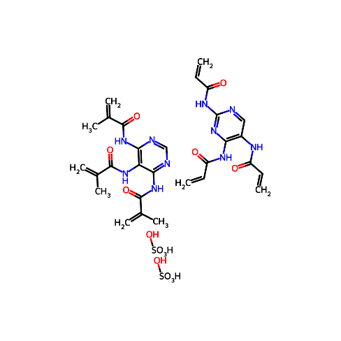 C=C(C)C(=O)Nc1ncnc(NC(=O)C(=C)C)c1NC(=O)C(=C)C.C=CC(=O)Nc1ncc(NC(=O)C=C)c(NC(=O)C=C)n1.O=S(=O)(O)O.O=S(=O)(O)O